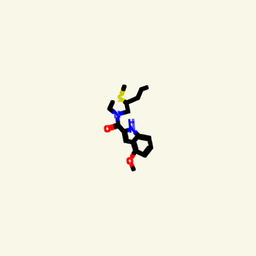 CCCC(CN(CC)C(=O)c1cc2c(OC)cccc2[nH]1)SC